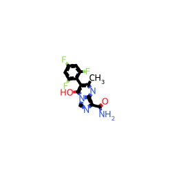 Cc1nc2c(C(N)=O)ncn2c(O)c1-c1c(F)cc(F)cc1F